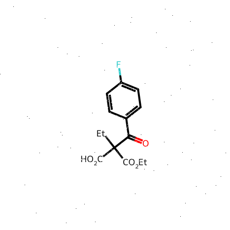 CCOC(=O)C(CC)(C(=O)O)C(=O)c1ccc(F)cc1